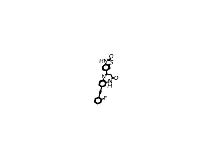 O=C1CC(c2ccc3[nH]c(=O)sc3c2)=Nc2ccc(C#Cc3ccccc3F)cc2N1